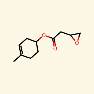 CC1=CCC(OC(=O)CC2CO2)CC1